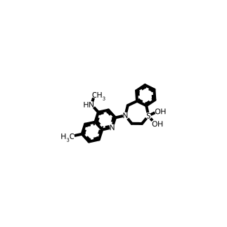 CNc1cc(N2CCS(O)(O)c3ccccc3C2)nc2ccc(C)cc12